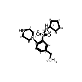 CCc1ccc(N2CCNCC2)c(S(=O)(=O)NC2CCCC2)c1